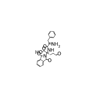 N[C@@H](Cc1ccccc1)C(=O)N[C@](CCC=O)(C(=O)O)N1C(=O)c2ccccc2C1=O